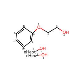 CCCCCCCO.CCCCCCO.OCCOc1ccccc1